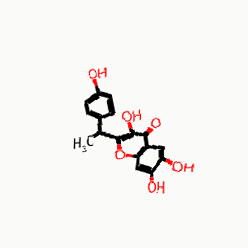 CC(c1ccc(O)cc1)c1oc2cc(O)c(O)cc2c(=O)c1O